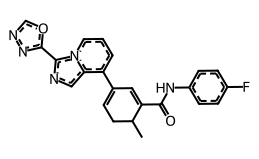 CC1CC=C(c2cccn3c(-c4nnco4)ncc23)C=C1C(=O)Nc1ccc(F)cc1